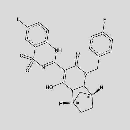 O=C1C(C2=NS(=O)(=O)c3cc(I)ccc3N2)=C(O)C2C([C@@H]3CC[C@H]2C3)N1Cc1ccc(F)cc1